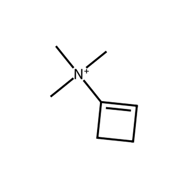 C[N+](C)(C)C1=CCC1